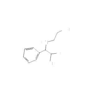 CC(O)C(NCCO)c1ccccc1